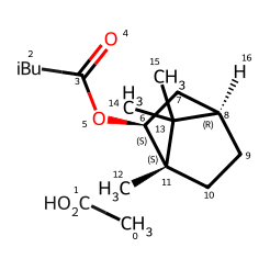 CC(=O)O.CCC(C)C(=O)O[C@H]1C[C@H]2CC[C@@]1(C)C2(C)C